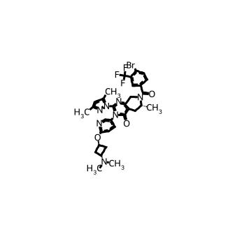 Cc1cc(C)n(-c2nc3c(c(=O)n2-c2ccc(O[C@H]4C[C@H](N(C)C)C4)nc2)C[C@@H](C)N(C(=O)c2ccc(Br)c(C(F)(F)F)c2)C3)n1